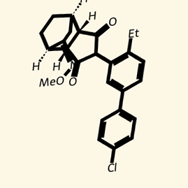 CCc1ccc(-c2ccc(Cl)cc2)cc1C1C(=O)[C@H]2[C@@H]3CC[C@@H](/C(=N\OC)C3)[C@H]2C1=O